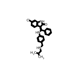 CC(C)CNCc1ccc(NC(=C2C(=O)Nc3cc(Cl)ccc32)c2ccccc2)cc1